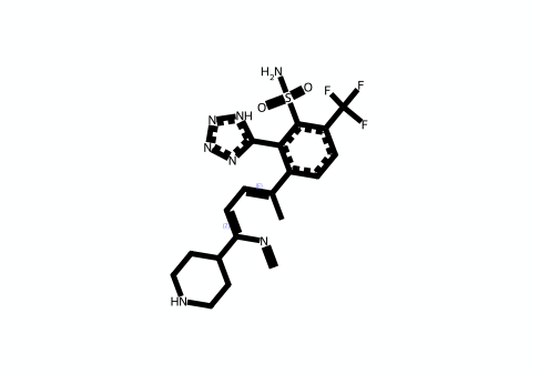 C=N/C(=C\C=C(/C)c1ccc(C(F)(F)F)c(S(N)(=O)=O)c1-c1nnn[nH]1)C1CCNCC1